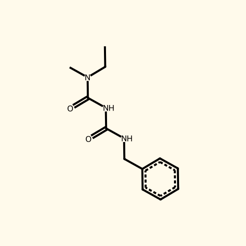 CCN(C)C(=O)NC(=O)NCc1ccccc1